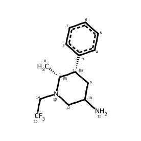 C[C@@H]1[C@H](c2ccccc2)CC(N)CN1CC(F)(F)F